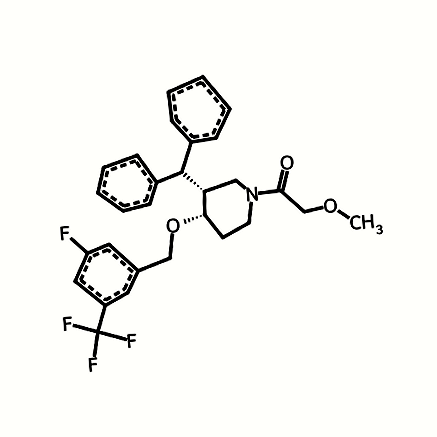 COCC(=O)N1CC[C@H](OCc2cc(F)cc(C(F)(F)F)c2)[C@H](C(c2ccccc2)c2ccccc2)C1